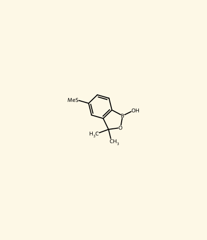 CSc1ccc2c(c1)C(C)(C)OB2O